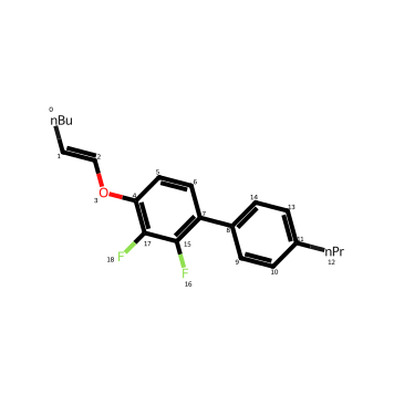 CCCC/C=C/Oc1ccc(-c2ccc(CCC)cc2)c(F)c1F